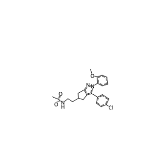 COc1ccccc1-n1nc2c(c1-c1ccc(Cl)cc1)CC(CCNS(C)(=O)=O)C2